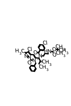 CC[C@H](C)[C@@H](c1cc2c(Cl)c(C)nn2c(=O)n1Cc1ccccc1)N(CCCNC(=O)OC(C)(C)C)C(=O)c1ccc(Cl)cc1